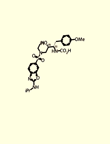 COc1ccc(C[C@H](NC(=O)O)[C@H](O)CN(CC(C)C)S(=O)(=O)c2ccc3nc(NC(C)C)oc3c2)cc1